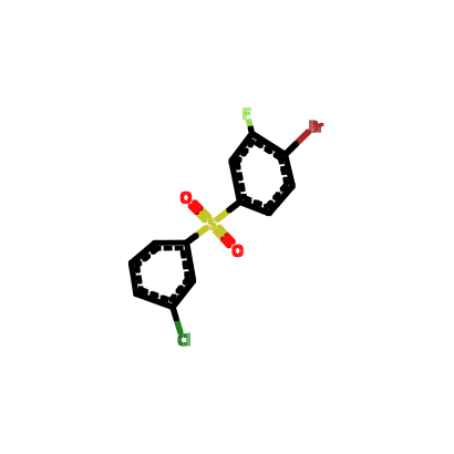 O=S(=O)(c1cccc(Cl)c1)c1ccc(Br)c(F)c1